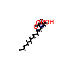 CCCCCCCCCC/C=C/C(=C/C(=O)O)C(=O)O